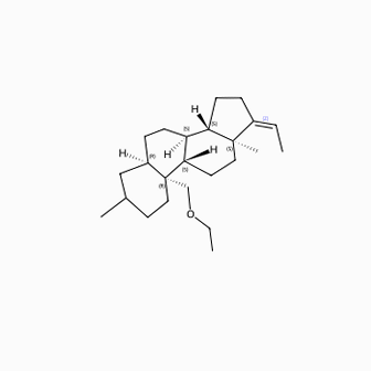 C/C=C1/CC[C@H]2[C@@H]3CC[C@@H]4CC(C)CC[C@]4(COCC)[C@H]3CC[C@]12C